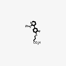 CC(C)Sc1ncccc1-c1ccc(SCCCC(=O)O)c(F)c1